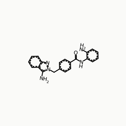 Nc1ccccc1NC(=O)c1ccc(Cn2nc3ccccc3c2N)cc1